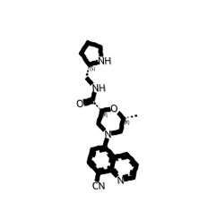 C[C@@H]1CN(c2ccc(C#N)c3ncccc23)C[C@H](C(=O)NC[C@@H]2CCCN2)O1